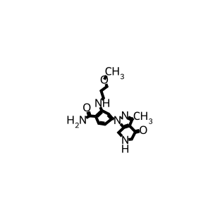 COCCCNc1cc(-n2nc(C)c3c2CNCC3=O)ccc1C(N)=O